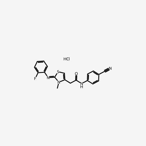 Cl.Cn1c(CC(=O)Nc2ccc(C#N)cc2)csc1=Nc1ccccc1F